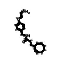 NCCOc1ccc(CNC(=O)COC2C#CCCCCC2)cc1